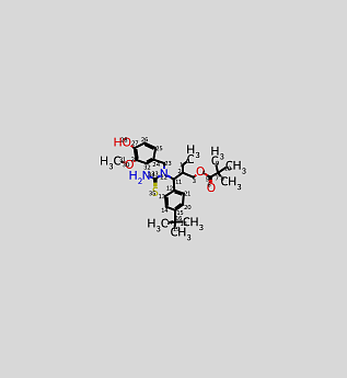 CCC(COC(=O)C(C)(C)C)C(c1ccc(C(C)(C)C)cc1)N(Cc1ccc(O)c(OC)c1)C(N)=S